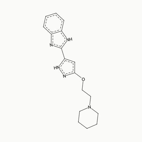 c1ccc2[nH]c(-c3cc(OCCN4CCCCC4)n[nH]3)nc2c1